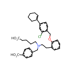 O=C(O)CCCCN(CCc1ccccc1OCc1ccc(C2=CCCCC2)cc1Cl)Cc1ccc(C(=O)O)cc1